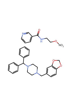 O=C(NCCO[N+](=O)[O-])c1cccnc1.c1ccc(C(c2ccccc2)N2CCN(Cc3ccc4c(c3)OCO4)CC2)cc1